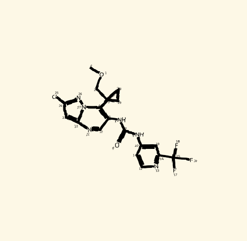 COCC1(c2c(NC(=O)Nc3ccnc(C(F)(F)F)c3)cnc3cc(Cl)nn23)CC1